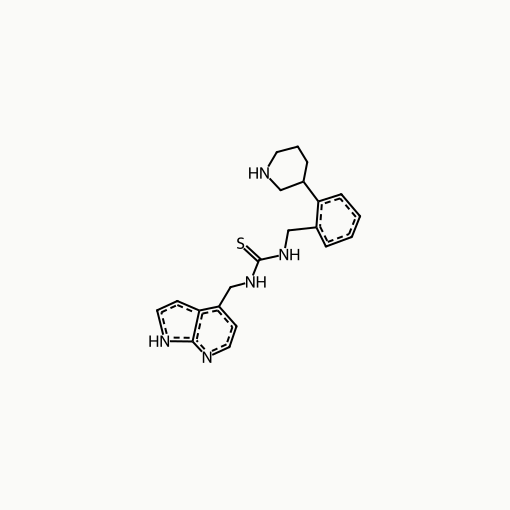 S=C(NCc1ccccc1C1CCCNC1)NCc1ccnc2[nH]ccc12